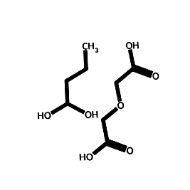 CCCC(O)O.O=C(O)COCC(=O)O